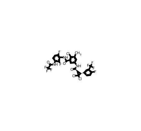 Cc1cc(NC(=O)[C@H]2[C@H](c3ccc(F)c(C(F)(F)F)c3)C2(Cl)Cl)cc(C(=O)Nc2c(F)ccc(NC(=O)C(F)(F)F)c2F)c1Cl